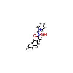 CC(C)Cc1ccc(C(C)C(=O)N(O)CN2CCCCC2)cc1